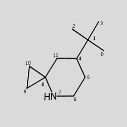 CC(C)(C)C1CCNC2(CC2)C1